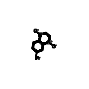 CC(C)c1ccc2c(c1)[n+]([O-])cc[n+]2[O-]